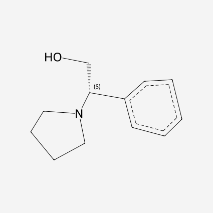 OC[C@H](c1ccccc1)N1CCCC1